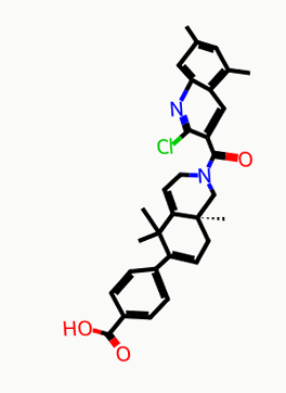 Cc1cc(C)c2cc(C(=O)N3CC=C4C(C)(C)C(c5ccc(C(=O)O)cc5)=CC[C@]4(C)C3)c(Cl)nc2c1